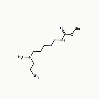 CN(CCN)CCCCCNC(=O)OC(C)(C)C